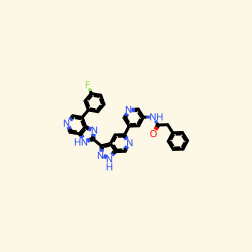 O=C(Cc1ccccc1)Nc1cncc(-c2cc3c(-c4nc5c(-c6cccc(F)c6)cncc5[nH]4)n[nH]c3cn2)c1